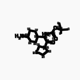 CC(C)(C)OC(=O)NC(C(=O)N1CCSC1)C1CCC(N)CC1